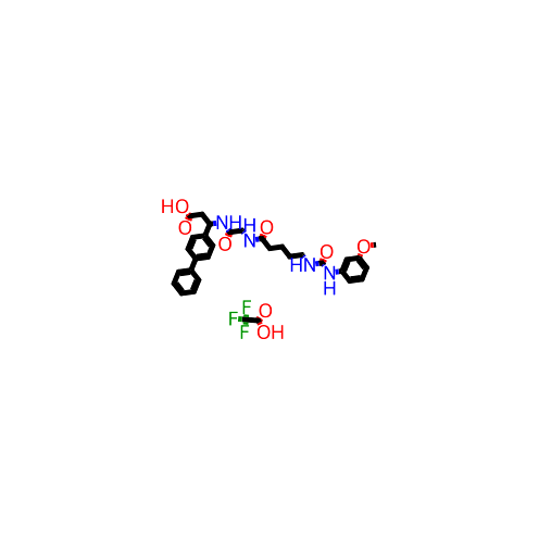 COc1cccc(NC(=O)NCCCCC(=O)NCC(=O)NC(CC(=O)O)c2ccc(-c3ccccc3)cc2)c1.O=C(O)C(F)(F)F